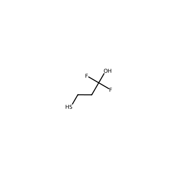 OC(F)(F)CCS